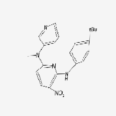 CN(c1cccnc1)c1ccc([N+](=O)[O-])c(Nc2ccc(C(C)(C)C)cc2)n1